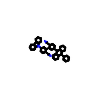 N#Cc1ccc(-c2c3ccccc3c(-c3ccccc3)c3ccccc23)cc1-c1cc(-n2c3ccccc3c3ccccc32)ccc1C#N